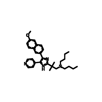 CCCCN(CCCC)CC(C)(C)c1nc(-c2ccc3cc(OC)ccc3c2)c(-c2ccncc2)[nH]1